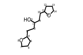 OC(CCC1CCCO1)CCC1CCCO1